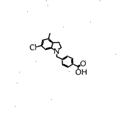 Cc1cc(Cl)cc2c1CCN2Cc1ccc(C(=O)O)cc1